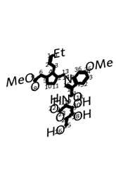 CC/C=C\CC1C(CC(=O)OC)CCC1Cn1cc(C(=O)NC2C(O)OC(CO)C(O)C2O)c2ccc(OC)cc21